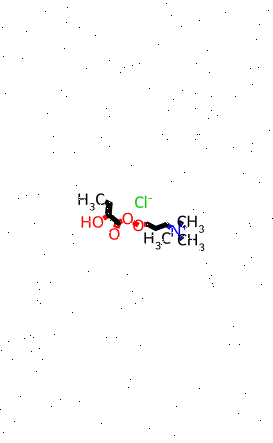 CC=C(O)C(=O)OOCCC[N+](C)(C)C.[Cl-]